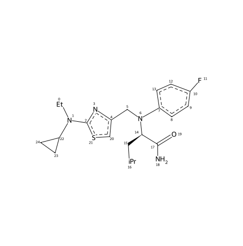 CCN(c1nc(CN(c2ccc(F)cc2)[C@H](CC(C)C)C(N)=O)cs1)C1CC1